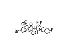 CC(N(Cc1ccc(F)cc1)C(=O)CN1C(=O)NC2(CS(=O)(=O)c3cc(Br)ccc32)C1=O)C(F)(F)F